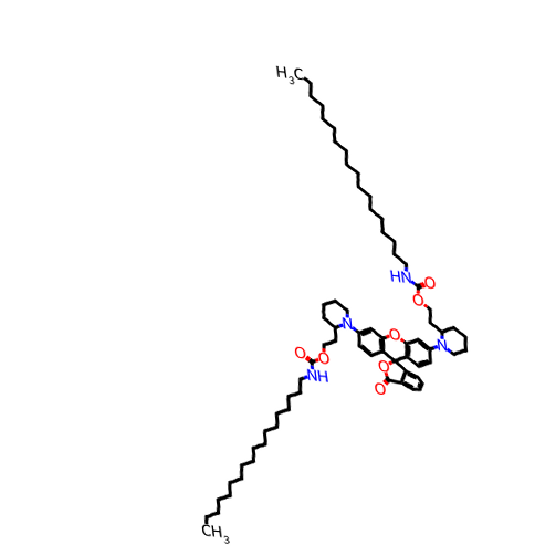 CCCCCCCCCCCCCCCCCCNC(=O)OCCC1CCCCN1c1ccc2c(c1)Oc1cc(N3CCCCC3CCOC(=O)NCCCCCCCCCCCCCCCCCC)ccc1C21OC(=O)c2ccccc21